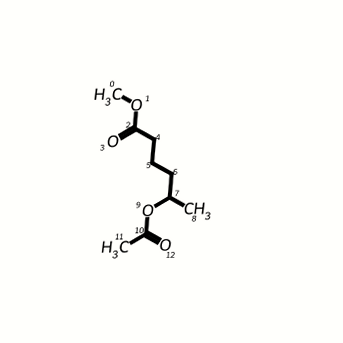 COC(=O)CCCC(C)OC(C)=O